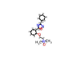 C[N+](C)([O-])CCOc1ccccc1-c1nc(-c2ccccc2)no1